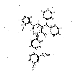 COc1c[n+]([O-])ccc1-c1ccc(NC(=O)[C@@H](NC(=O)c2ccnn2C)C(c2ccccc2)c2ccccc2)cc1